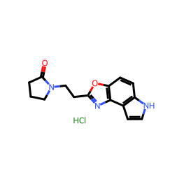 Cl.O=C1CCCN1CCc1nc2c(ccc3[nH]ccc32)o1